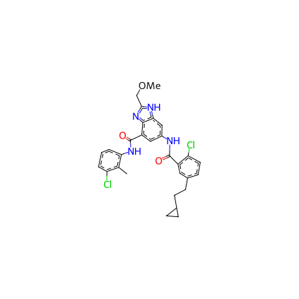 COCc1nc2c(C(=O)Nc3cccc(Cl)c3C)cc(NC(=O)c3cc(CCC4CC4)ccc3Cl)cc2[nH]1